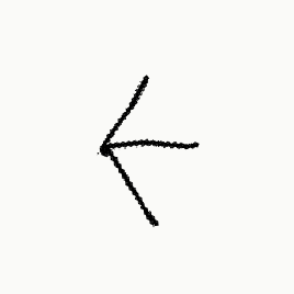 CCCCCCCCCCCCCCCCCCCCCCCCCCCCc1c[c]cc(CCCCCCCCCCCCCCCCCCCCCCCCCCCC)c1CCCCCCCCCCCCCCCCCCCCCCCCCCCC